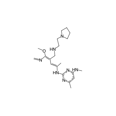 C=N/C(OC)=C(\C=C(/C)Nc1nc(C)cc(NC)n1)CNCCN1CCCC1